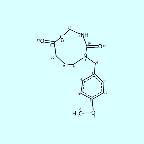 COc1ccc(CN2CCCC(=O)CCNC2=O)cc1